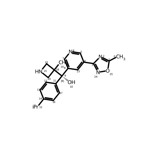 Cc1nc(-c2cncc([C@@](O)(c3ccc(C(C)C)cc3)C3(C)CNC3)c2)no1